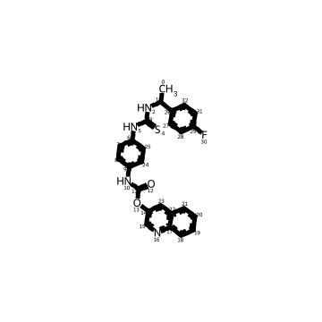 CC(NC(=S)Nc1ccc(NC(=O)Oc2cnc3ccccc3c2)cc1)c1ccc(F)cc1